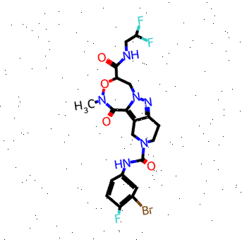 CN1OC(C(=O)NCC(F)F)Cn2nc3c(c2C1=O)CN(C(=O)Nc1ccc(F)c(Br)c1)CC3